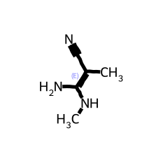 CN/C(N)=C(\C)C#N